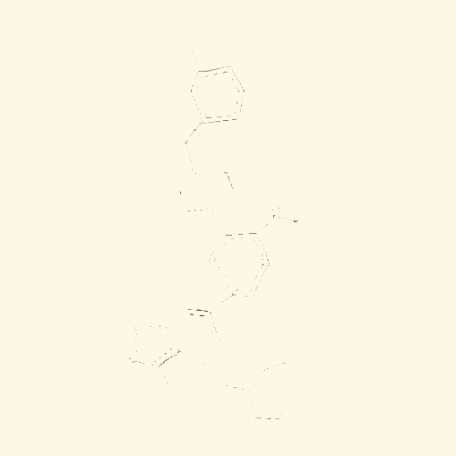 CC(=O)Nc1ccc(-c2cc(OC3CCOCC3)c3c(C)n[nH]c3c2)cc1N1CCN(Cc2cccc(F)c2)CC1